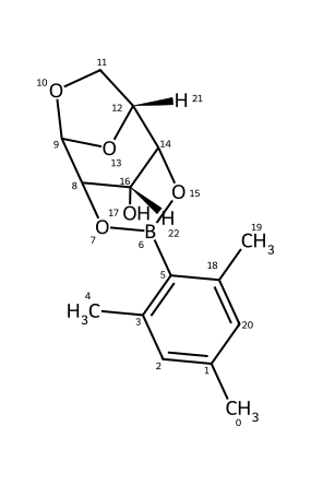 Cc1cc(C)c(B2OC3C4OC[C@@H](O4)C(O2)[C@@H]3O)c(C)c1